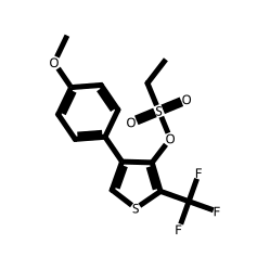 CCS(=O)(=O)Oc1c(-c2ccc(OC)cc2)csc1C(F)(F)F